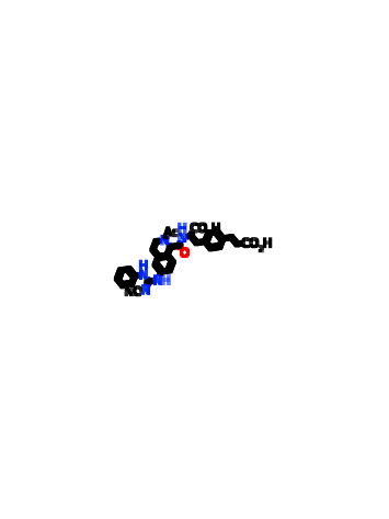 CC(=O)N1CCc2cc(NC(=NC#N)Nc3ccccc3)ccc2C1C(=O)NC(Cc1ccc(CCC(=O)O)cc1)C(=O)O